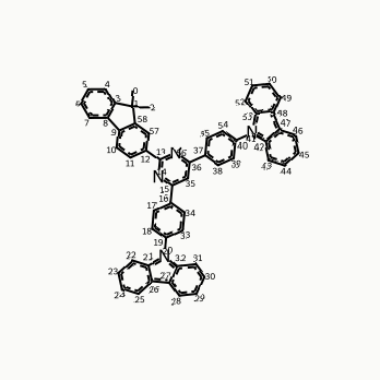 CC1(C)c2ccccc2-c2ccc(-c3nc(-c4ccc(-n5c6ccccc6c6ccccc65)cc4)cc(-c4ccc(-n5c6ccccc6c6ccccc65)cc4)n3)cc21